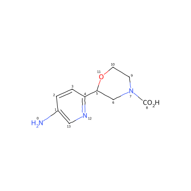 Nc1ccc(C2CN(C(=O)O)CCO2)nc1